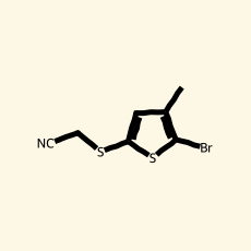 Cc1cc(SCC#N)sc1Br